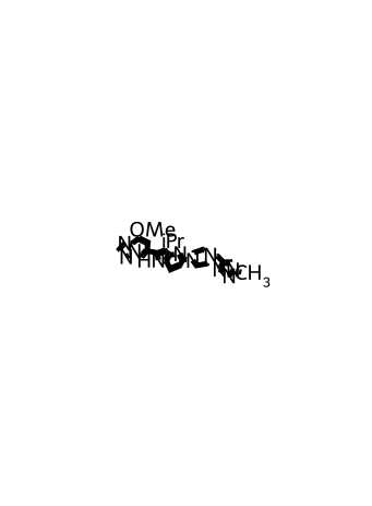 COc1cc(-c2[nH]c3ccc(N4CCN(Cc5cn(C)nn5)CC4)nc3c2C(C)C)cn2ncnc12